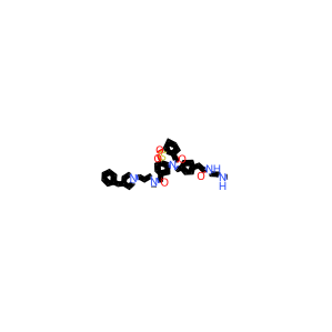 CNCCNC(=O)Cc1ccc(CN2C(=O)c3ccccc3S(=O)(=O)c3ccc(C(=O)N(C)CCCN4CCC(Cc5ccccc5)CC4)cc32)cc1